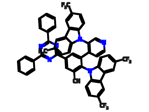 N#Cc1cc(-c2nc(-c3ccccc3)nc(-c3ccccc3)n2)cc(-c2ccncc2-n2c3ccc(C(F)(F)F)cc3c3cc(C(F)(F)F)ccc32)c1-n1c2ccc(C(F)(F)F)cc2c2cc(C(F)(F)F)ccc21